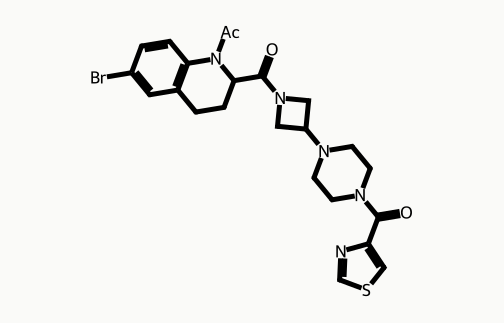 CC(=O)N1c2ccc(Br)cc2CCC1C(=O)N1CC(N2CCN(C(=O)c3cscn3)CC2)C1